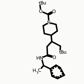 CC(NC(=O)CC(CC(C)(C)C)C1CCN(C(=O)OC(C)(C)C)CC1)c1ccccc1